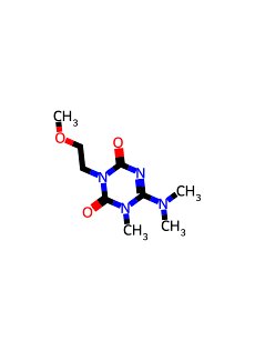 COCCn1c(=O)nc(N(C)C)n(C)c1=O